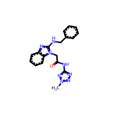 Cn1nnc(NC(=O)Cn2c(NCc3ccccc3)nc3ccccc32)n1